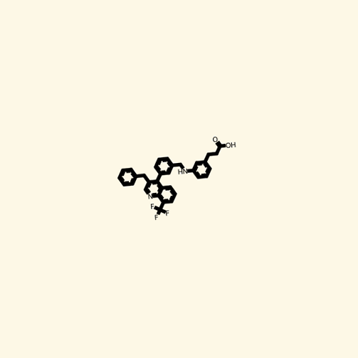 O=C(O)CCc1cccc(NCc2cccc(-c3c(Cc4ccccc4)cnc4c(C(F)(F)F)cccc34)c2)c1